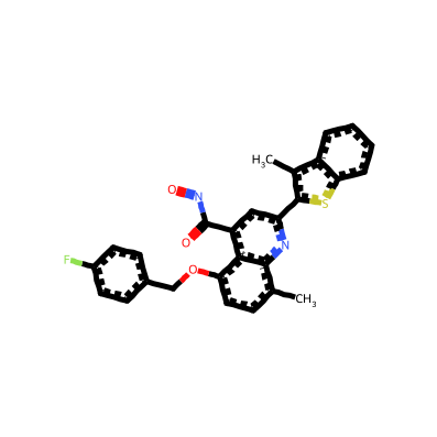 Cc1c(-c2cc(C(=O)N=O)c3c(OCc4ccc(F)cc4)ccc(C)c3n2)sc2ccccc12